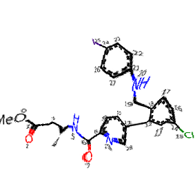 COC(=O)CCNC(=O)c1ccc(-c2cc(Cl)ccc2CNc2ccc(I)cc2)cn1